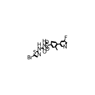 Cc1cc(S(=O)(=O)NC(=O)Nc2ncc(Br)s2)ccc1-c1cncc(F)c1